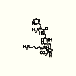 NCCCC[C@H](NC(=O)[C@H](Cc1c[nH]cn1)NC(=O)CNC(=O)[C@@H](N)Cc1cccnc1)C(=O)O